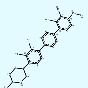 CCCCCC1OCC(c2ccc(-c3ccc(-c4ccc(OCC)c(F)c4F)cc3)c(F)c2F)CO1